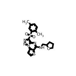 Cc1ccc(C)c(S(=O)(=O)c2nnn3c2nc(NCC2CCCO2)c2sccc23)c1